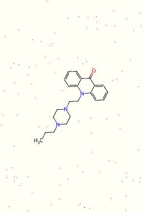 CCCN1CCN(CCn2c3ccccc3c(=O)c3ccccc32)CC1